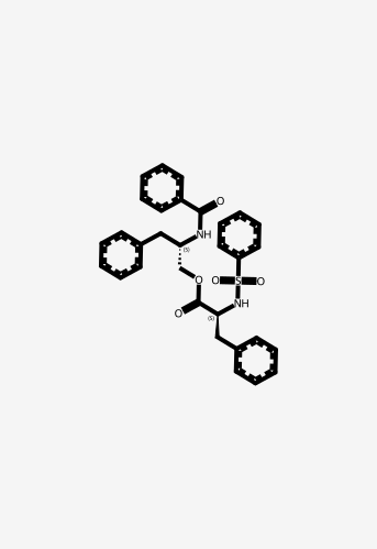 O=C(N[C@H](COC(=O)[C@H](Cc1ccccc1)NS(=O)(=O)c1ccccc1)Cc1ccccc1)c1ccccc1